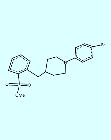 COS(=O)(=O)c1ccccc1CC1CCN(c2ccc(Br)cc2)CC1